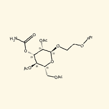 CCCOCCO[C@H]1O[C@H](COC(C)=O)[C@@H](OC(C)=O)[C@H](OC(N)=O)[C@@H]1OC(C)=O